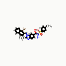 Cc1ccc(S(=O)(=O)NC(=O)c2ccc3nc(C)n(Cc4ccc5ccccc5c4Br)c3c2)cc1